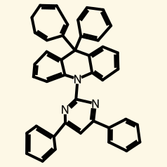 C1=CCC=CC(C2(c3ccccc3)c3ccccc3N(c3nc(-c4ccccc4)cc(-c4ccccc4)n3)c3ccccc32)=C1